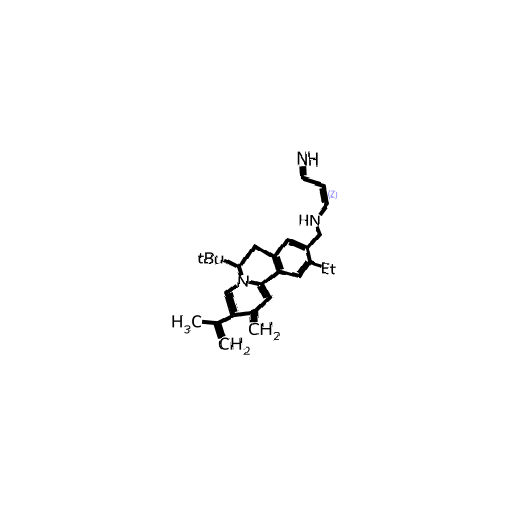 C=C(C)C1=CN2C(=CC1=C)c1cc(CC)c(CN/C=C\C=N)cc1CC2C(C)(C)C